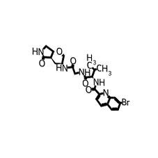 CC(C)[C@H](NC(=O)c1ccc2ccc(Br)cc2n1)C(=O)NCC(=O)N[C@H](C=O)C[C@@H]1CCNC1=O